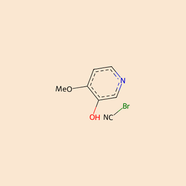 COc1ccncc1O.N#CBr